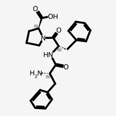 N[C@@H](Cc1ccccc1)C(=O)N[C@@H](Cc1ccccc1)C(=O)N1CCC[C@H]1C(=O)O